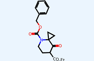 CCOC(=O)C1CCN(C(=O)OCc2ccccc2)C2(CC2)C1=O